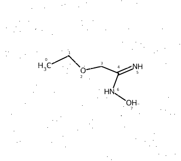 CCOCC(=N)NO